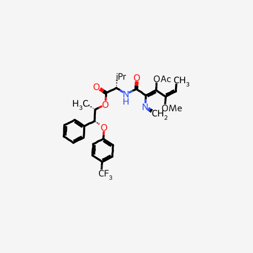 C=N/C(C(=O)N[C@H](C(=O)O[C@@H](C)[C@H](Oc1ccc(C(F)(F)F)cc1)c1ccccc1)C(C)C)=C(OC(C)=O)\C(=C/C)OC